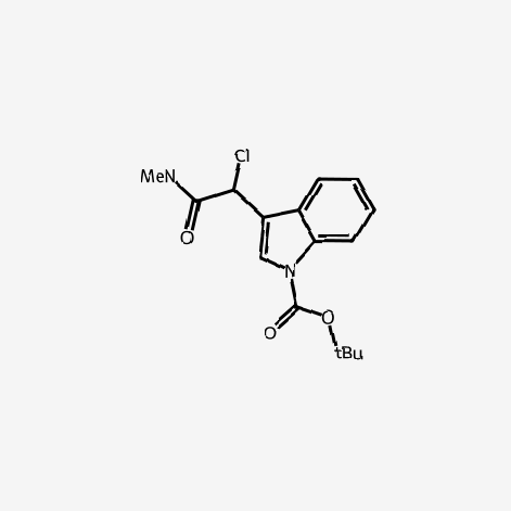 CNC(=O)C(Cl)c1cn(C(=O)OC(C)(C)C)c2ccccc12